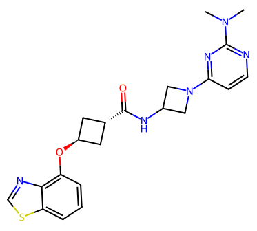 CN(C)c1nccc(N2CC(NC(=O)[C@H]3C[C@H](Oc4cccc5scnc45)C3)C2)n1